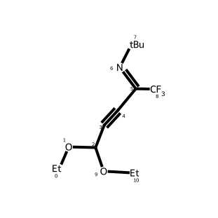 CCOC(C#CC(=NC(C)(C)C)C(F)(F)F)OCC